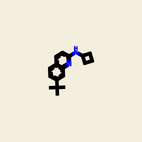 CC(C)(C)c1ccc2ccc(NC3CCC3)nc2c1